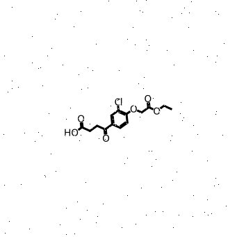 CCOC(=O)COc1ccc(C(=O)CCC(=O)O)cc1Cl